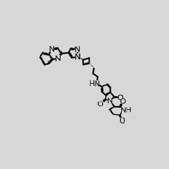 O=C1CCC(N2C(=O)c3ccc(NCCC[C@H]4C[C@@H](n5cc(-c6cnc7ccccc7n6)cn5)C4)cc3C2=O)C(=O)N1